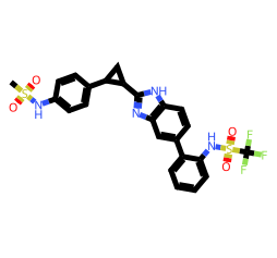 CS(=O)(=O)Nc1ccc(C2CC2c2nc3cc(-c4ccccc4NS(=O)(=O)C(F)(F)F)ccc3[nH]2)cc1